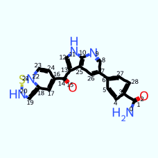 NC(=O)c1ccc(-c2cnc3[nH]cc(C(=O)C4=CC5=CNSN5C=C4)c3c2)cc1